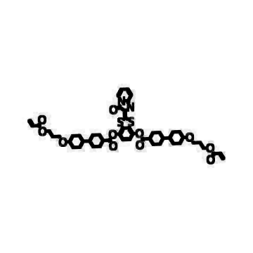 C=CC(=O)OCCCOC1CCC(C2CCC(C(=O)Oc3ccc(OC(=O)C4CCC(C5CCC(OCCCOC(=O)C=C)CC5)CC4)c4c3SC(=C3N=C5C=CC=CN5C3=O)S4)CC2)CC1